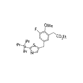 CCOC(=O)Cc1cc(Cc2cnc([Si](C(C)C)(C(C)C)C(C)C)s2)cc(F)c1OC